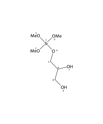 CO[Si](OC)(OC)OCC(O)CO